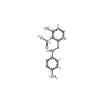 Cc1ccc(NCc2ncnc(Cl)c2[N+](=O)[O-])cc1